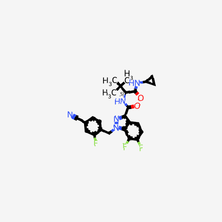 CC(C)(C)[C@H](NC(=O)c1nn(Cc2ccc(C#N)cc2F)c2c(F)c(F)ccc12)C(=O)NC1CC1